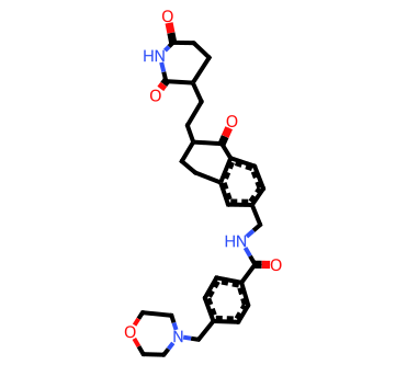 O=C1CCC(CCC2CCc3cc(CNC(=O)c4ccc(CN5CCOCC5)cc4)ccc3C2=O)C(=O)N1